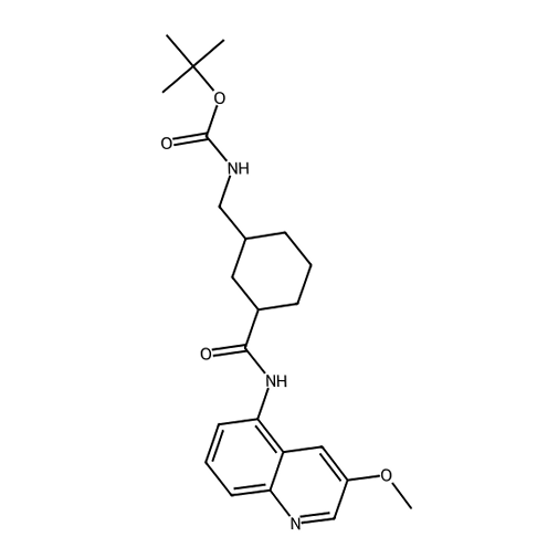 COc1cnc2cccc(NC(=O)C3CCCC(CNC(=O)OC(C)(C)C)C3)c2c1